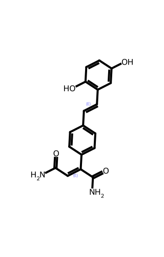 NC(=O)/C=C(/C(N)=O)c1ccc(/C=C/c2cc(O)ccc2O)cc1